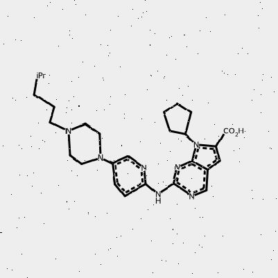 CC(C)CCCN1CCN(c2ccc(Nc3ncc4cc(C(=O)O)n(C5CCCC5)c4n3)nc2)CC1